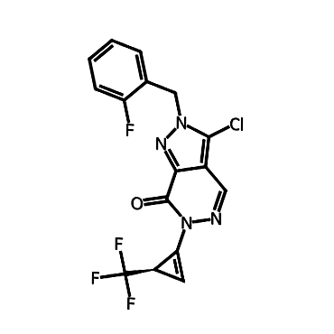 O=c1c2nn(Cc3ccccc3F)c(Cl)c2cnn1C1=C[C@H]1C(F)(F)F